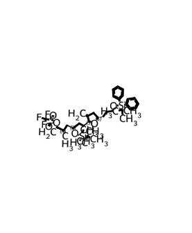 C=C(OS(=O)(=O)C(F)(F)F)[C@H](C)C[C@@H](CC[C@@H]1O[C@@H](CCCO[Si](c2ccccc2)(c2ccccc2)C(C)(C)C)CC1=C)O[Si](C)(C)C(C)(C)C